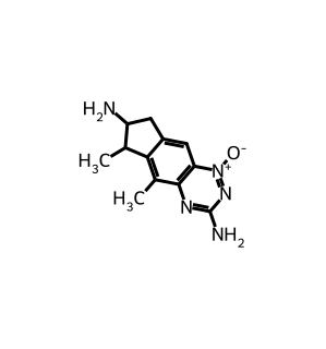 Cc1c2c(cc3c1nc(N)n[n+]3[O-])CC(N)C2C